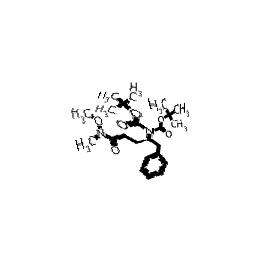 CON(C)C(=O)CC[C@H](Cc1ccccc1)N(C(=O)OC(C)(C)C)C(=O)OC(C)(C)C